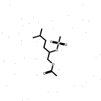 CC(=O)OCC(CCC(C)C)OS(C)(=O)=O